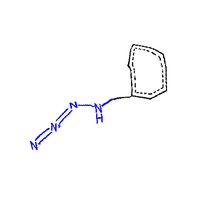 [N-]=[N+]=NNc1ccccc1